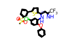 CS(=O)(=O)c1cccc(-c2ccc(/C(=C/C(=N)C(F)(F)F)Nc3cc(Cl)ccc3Oc3ccccc3)s2)c1